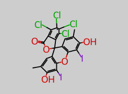 Cc1cc2c(c(I)c1O)Oc1c(cc(C)c(O)c1I)C21OC(=O)c2c(Cl)c(Cl)c(Cl)c(Cl)c21